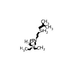 CC[Si](CC)(CC)CNCC[SiH2]C=C(C)C